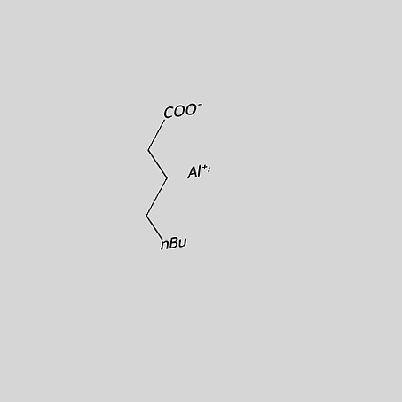 CCCCCCCC(=O)[O-].[Al+]